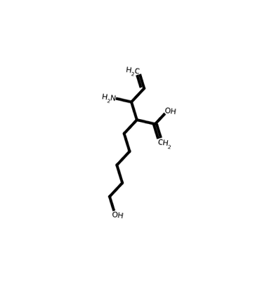 C=CC(N)[C](CCCCCO)C(=C)O